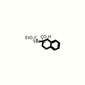 CCOC(=O)N[C@]1(C(=O)O)CCc2ccccc2C1